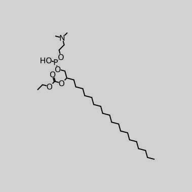 CCCCCCCCCCCCCCCCCCCC(COP(O)OCCN(C)C)OC(=O)OCC